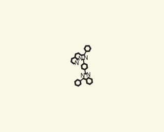 c1ccc(-c2nc(-c3ccc(-c4nc(-c5ccccc5)c5ccc6cccnc6n45)cc3)nc3ccccc23)cc1